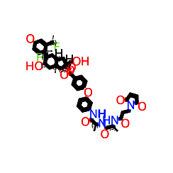 C[C@H](F)C1=CC(=O)C=C[C@]1(C)[C@]1(F)C[C@@H]2C[C@H]3OC(c4ccc(Oc5cccc(NC(=O)[C@H](C)NC(=O)[C@H](C)NC(=O)CCN6C(=O)C=CC6=O)c5)cc4)O[C@@]3(C(=O)CO)[C@@]2(C)C[C@@H]1O